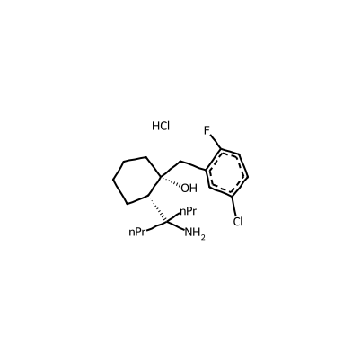 CCCC(N)(CCC)[C@@H]1CCCC[C@@]1(O)Cc1cc(Cl)ccc1F.Cl